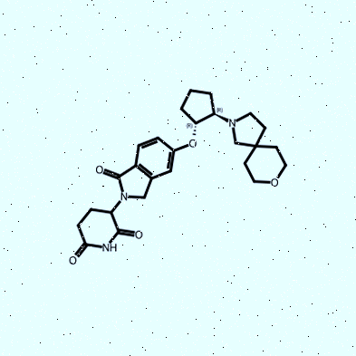 O=C1CCC(N2Cc3cc(O[C@@H]4CCC[C@H]4N4CCC5(CCOCC5)C4)ccc3C2=O)C(=O)N1